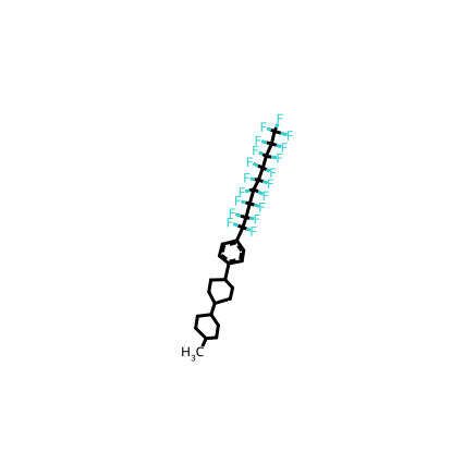 CC1CCC(C2CCC(c3ccc(C(F)(F)C(F)(F)C(F)(F)C(F)(F)C(F)(F)C(F)(F)C(F)(F)C(F)(F)C(F)(F)F)cc3)CC2)CC1